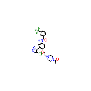 CC(=O)N1CCN(CCOc2ccc(NC(=O)c3cccc(C(F)(F)F)c3)cc2-c2c(Cl)cnn2C)CC1